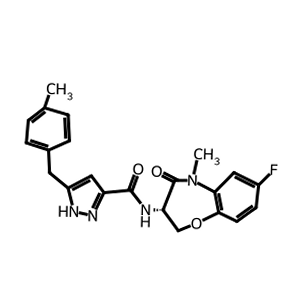 Cc1ccc(Cc2cc(C(=O)N[C@H]3COc4ccc(F)cc4N(C)C3=O)n[nH]2)cc1